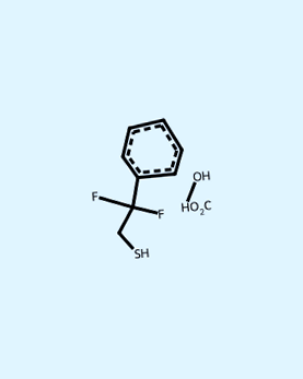 FC(F)(CS)c1ccccc1.O=C(O)O